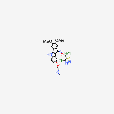 COc1cc2c(cc1OC)-c1[nH]c3ccc(OCCN(C)C)cc3c1C2=NOCc1snnc1Cl.Cl